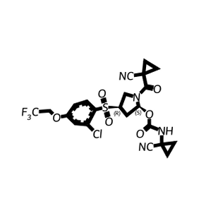 N#CC1(NC(=O)O[C@H]2C[C@@H](S(=O)(=O)c3ccc(OCC(F)(F)F)cc3Cl)CN2C(=O)C2(C#N)CC2)CC1